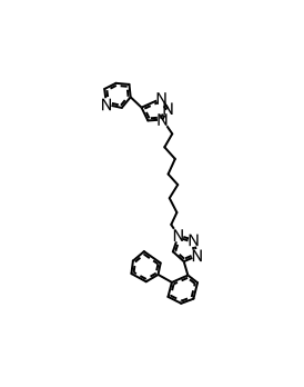 c1ccc(-c2ccccc2-c2cn(CCCCCCCCn3cc(-c4cccnc4)nn3)nn2)cc1